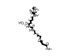 CC(C)(C)OC(=O)CCOCCOCCNC(=O)N[C@@H](CCCCNC(=O)OC(C)(C)C)C(=O)O